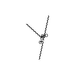 CCCCCCCCCCCCCCCC(=O)OC[C@@H](C[C@@H]([C]=O)CCCCCCCCCCCCCC)OC(=O)CCCCCCCCCCCCCCC